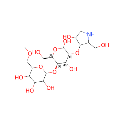 COCC1OC(O[C@@H]2[C@@H](O)[C@@H](OC3C(O)CNC3CO)C(O)O[C@@H]2CO)C(O)C(O)C1O